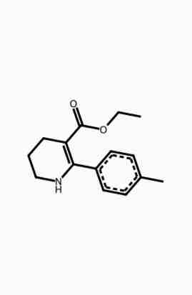 CCOC(=O)C1=C(c2ccc(C)cc2)NCCC1